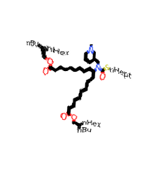 CCCCCCCSC(=O)N(CC1CCCN(C)C1)C(CCCCCCCCC(=O)OCC(CCCC)CCCCCC)CCCCCCCCC(=O)OCC(CCCC)CCCCCC